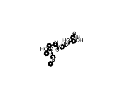 O=C(c1cncc(-c2cccc(C(O)(C(=O)OCC3CCN(Cc4ccccc4)CC3)c3ccccc3)c2)c1)N1CCC(CNC[C@H](O)c2ccc(O)c3[nH]c(=O)ccc23)CC1